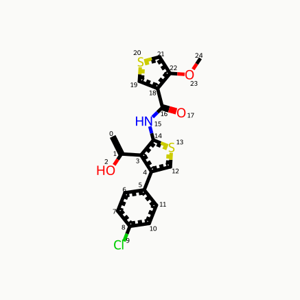 C=C(O)c1c(-c2ccc(Cl)cc2)csc1NC(=O)c1cscc1OC